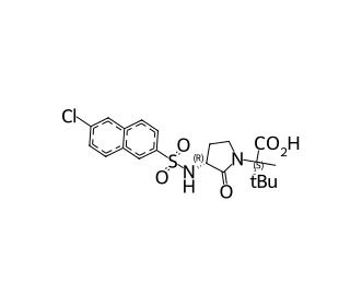 CC(C)(C)[C@@](C)(C(=O)O)N1CC[C@@H](NS(=O)(=O)c2ccc3cc(Cl)ccc3c2)C1=O